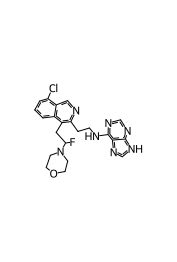 FC(Cc1c(CCNc2ncnc3[nH]cnc23)ncc2c(Cl)cccc12)N1CCOCC1